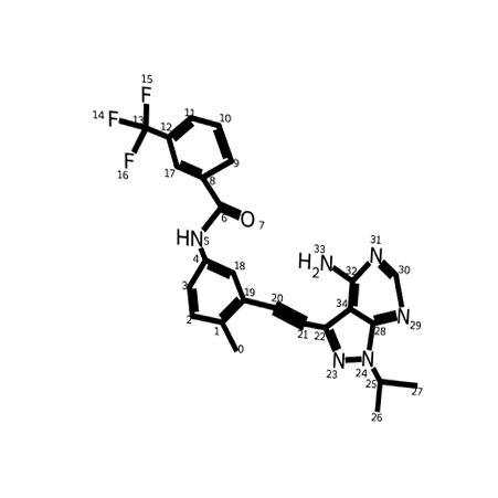 Cc1ccc(NC(=O)c2cccc(C(F)(F)F)c2)cc1C#Cc1nn(C(C)C)c2ncnc(N)c12